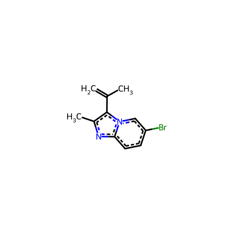 C=C(C)c1c(C)nc2ccc(Br)cn12